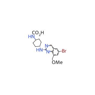 COCc1cc(Br)cc2cnc(N[C@H]3CC[C@H](NC(=O)O)CC3)nc12